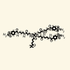 CC(C)(C)C(=O)CCCC(=O)NC(COCCC(=O)NCCCNC(=O)c1ccc(S(N)(=O)=O)cc1)(COCCC(=O)NCCCNC(=O)c1ccc(S(N)(=O)=O)cc1)COCCC(=O)NCCCNC(=O)c1ccc(S(N)(=O)=O)cc1